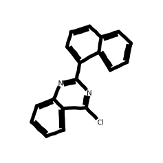 Clc1nc(-c2cccc3ccccc23)nc2ccccc12